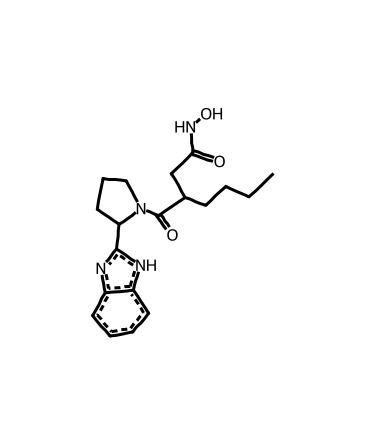 CCCCC(CC(=O)NO)C(=O)N1CCCC1c1nc2ccccc2[nH]1